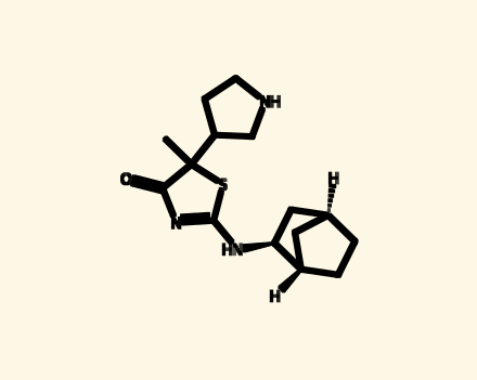 CC1(C2CCNC2)SC(N[C@H]2C[C@H]3CC[C@H]2C3)=NC1=O